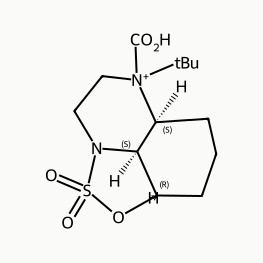 CC(C)(C)[N+]1(C(=O)O)CCN2[C@@H]3[C@@H](CCC[C@@H]31)OS2(=O)=O